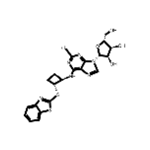 OC[C@H]1O[C@@H](n2cnc3c(N[C@@H]4CC[C@H]4Sc4nc5ccccc5s4)nc(Cl)nc32)[C@H](O)[C@@H]1O